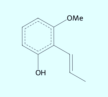 CC=Cc1c(O)cccc1OC